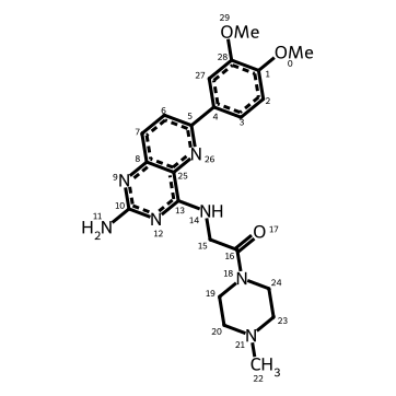 COc1ccc(-c2ccc3nc(N)nc(NCC(=O)N4CCN(C)CC4)c3n2)cc1OC